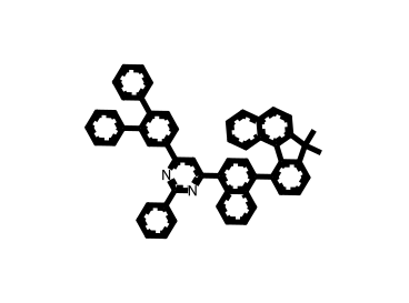 CC1(C)c2cccc(-c3ccc(-c4cc(-c5ccc(-c6ccccc6)c(-c6ccccc6)c5)nc(-c5ccccc5)n4)c4ccccc34)c2-c2c1ccc1ccccc21